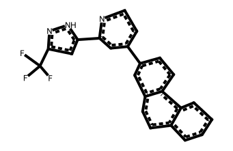 FC(F)(F)c1cc(-c2cc(-c3ccc4c(ccc5ccccc54)c3)ccn2)[nH]n1